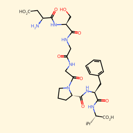 CC(C)[C@H](NC(=O)[C@H](Cc1ccccc1)NC(=O)[C@@H]1CCCN1C(=O)CNC(=O)CNC(=O)[C@H](CO)NC(=O)[C@@H](N)CC(=O)O)C(=O)O